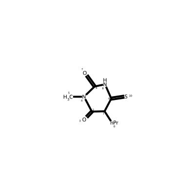 CCCC1C(=O)N(C)C(=O)NC1=S